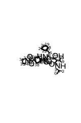 CC(C)CNC(=O)[C@H](C(C)C)[C@@H](O)[C@H](O)[C@H](Cc1ccccc1)NC(=O)c1ccc(S(=O)(=O)N2CCCC2)cc1